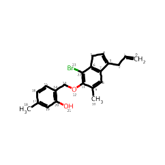 C=CCC1=CCc2c1cc(C)c(OCc1ccc(C)cc1O)c2Br